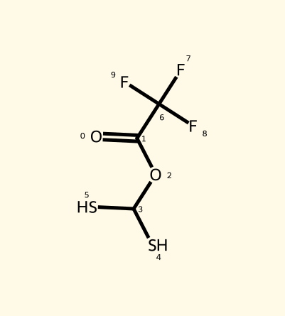 O=C(OC(S)S)C(F)(F)F